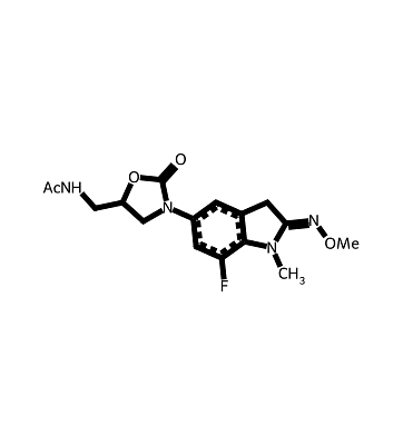 CON=C1Cc2cc(N3CC(CNC(C)=O)OC3=O)cc(F)c2N1C